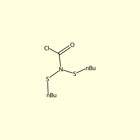 CCCCSN(SCCCC)C(=O)Cl